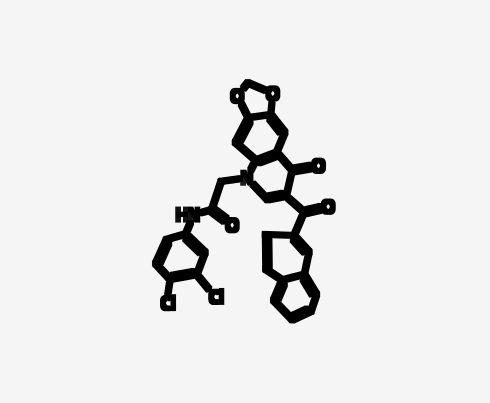 O=C(Cn1cc(C(=O)c2ccc3ccccc3c2)c(=O)c2cc3c(cc21)OCO3)Nc1ccc(Cl)c(Cl)c1